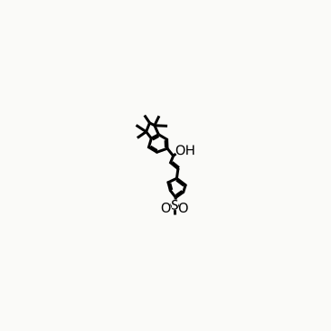 CC1C(C)(C)c2ccc(C(O)/C=C/c3ccc(S(C)(=O)=O)cc3)cc2C1(C)C